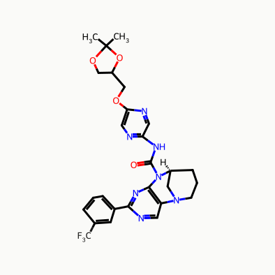 CC1(C)OCC(COc2cnc(NC(=O)N3c4nc(-c5cccc(C(F)(F)F)c5)ncc4N4CCC[C@H]3C4)cn2)O1